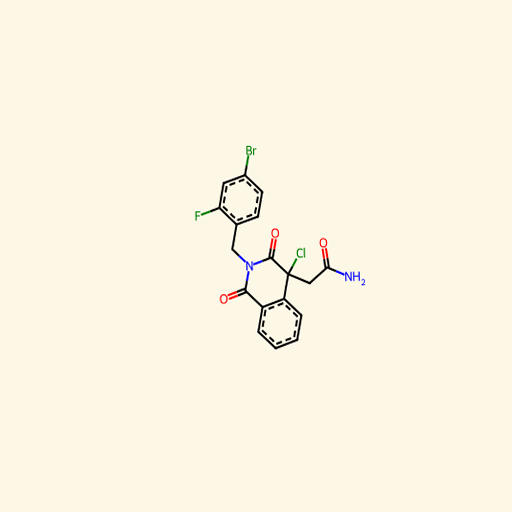 NC(=O)CC1(Cl)C(=O)N(Cc2ccc(Br)cc2F)C(=O)c2ccccc21